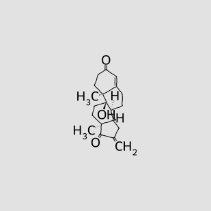 C=C1C[C@H]2[C@@H]3CCC4=CC(=O)CC[C@]4(C)[C@@]3(O)CC[C@]2(C)C1=O